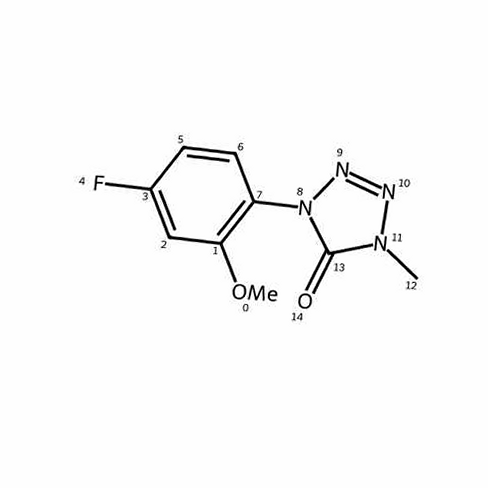 COc1cc(F)ccc1-n1nnn(C)c1=O